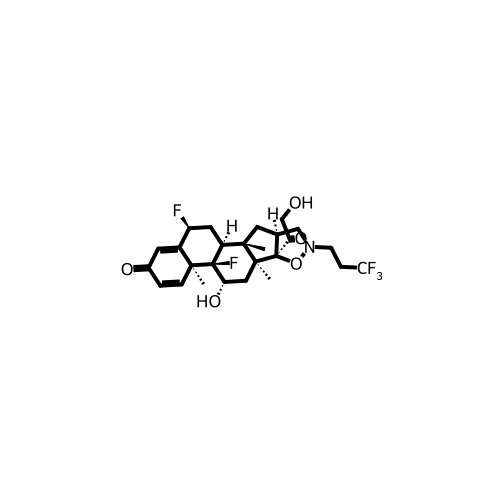 C[C@]12C[C@H](O)[C@@]3(F)[C@@H](C[C@H](F)C4=CC(=O)C=C[C@@]43C)[C@]1(C)C[C@H]1CN(CCC(F)(F)F)O[C@]12C(=O)CO